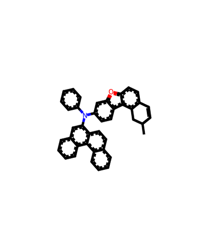 CC1C=Cc2ccc3oc4cc(N(c5ccccc5)c5cc6ccccc6c6c5ccc5ccccc56)ccc4c3c2C1